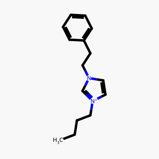 CCCC[n+]1ccn(CCc2ccccc2)c1